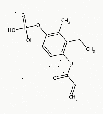 C=CC(=O)Oc1ccc(OP(=O)(O)O)c(C)c1CC